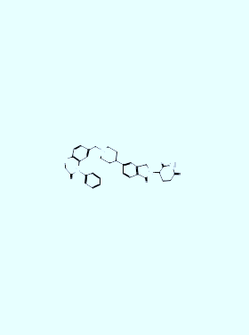 O=C1CCC(N2Cc3cc(C4CCN(Cc5ccc6c(c5)N(c5ccccc5)C(=O)CO6)CC4)ccc3C2=O)C(=O)N1